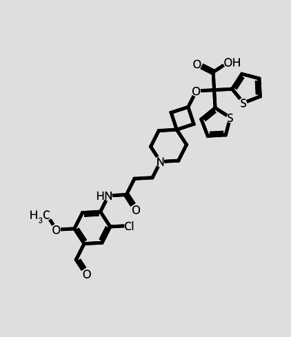 COc1cc(NC(=O)CCN2CCC3(CC2)CC(OC(C(=O)O)(c2cccs2)c2cccs2)C3)c(Cl)cc1C=O